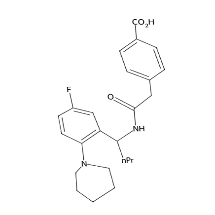 CCCC(NC(=O)Cc1ccc(C(=O)O)cc1)c1cc(F)ccc1N1CCCCC1